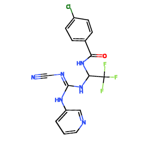 N#C/N=C(\Nc1cccnc1)NC(NC(=O)c1ccc(Cl)cc1)C(F)(F)F